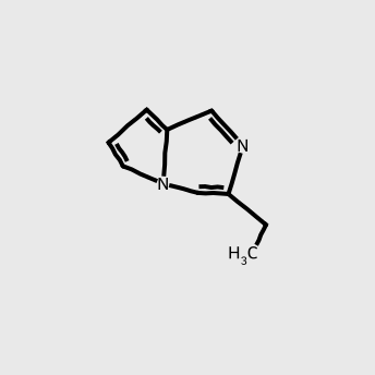 CCc1cn2cccc2cn1